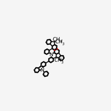 CC1(C)c2ccccc2-c2c(-c3ccccc3N3c4cc(-c5ccc6c7ccccc7n(-c7ccccc7)c6c5)ccc4C4(C)c5ccccc5-c5cccc3c54)cccc21